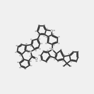 CC1(C)c2ccccc2-c2cc3c(cc21)c1ccccc1n3-c1ccc2oc3cccc(-c4ccc5c(c4)c4cccc6c7ccccc7c(=O)n5c64)c3c2c1